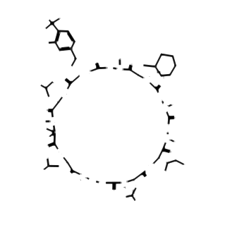 CCC(C)[C@@H]1NC(=O)[C@H](CC(C)C)N(C)C(=O)CCN(C)C(=O)[C@H](CC(C)C)NC(=O)C(C)(C)N(C)C(=O)[C@H](CC(C)C)NC(=O)[C@H](CCc2ccc(C(F)(F)F)c(F)c2)NC(=O)CN(C)C(=O)[C@H](CC2CCCCC2)N(C)C(=O)CN(C)C(=O)CN(C)C1=O